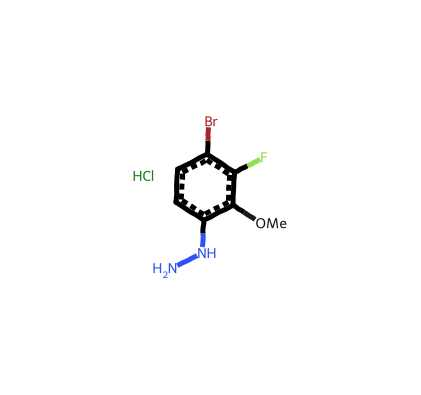 COc1c(NN)ccc(Br)c1F.Cl